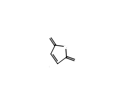 O=C1C=CC(=O)N1.[Sn]